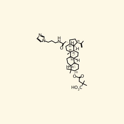 C=C(C)[C@@H]1CC[C@]2(CC(=O)NCCCn3ccnc3)CC[C@]3(C)[C@H](CC[C@@H]4[C@@]5(C)CC[C@H](OC(=O)CC(C)(C)C(=O)O)C(C)(C)[C@@H]5CC[C@]43C)[C@@H]12